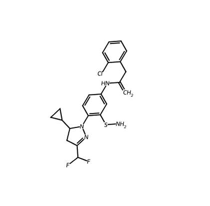 C=C(Cc1ccccc1Cl)Nc1ccc(N2N=C(C(F)F)CC2C2CC2)c(SN)c1